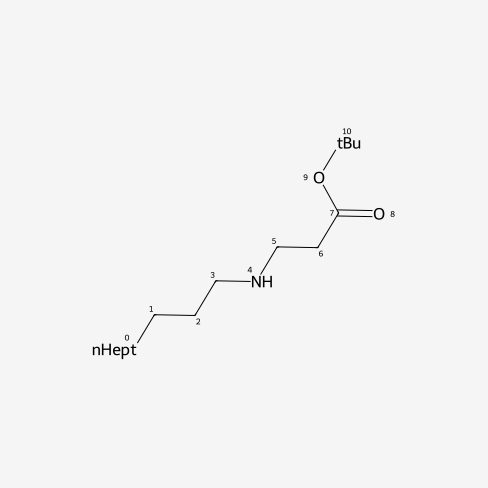 CCCCCCCCCCNCCC(=O)OC(C)(C)C